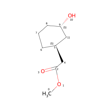 COC(=O)C[C@H]1CCC[C@H](O)C1